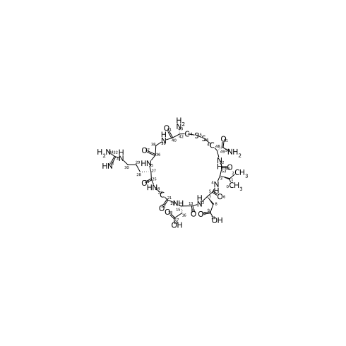 CC(C)[C@H]1NC(=O)[C@@H](CC(=O)O)NC(=O)[C@H](CC(=O)O)NC(=O)CNC(=O)[C@H](CCCNC(=N)N)NC(=O)CNC(=O)[C@H](N)CSSC[C@H](C(N)=O)NC1=O